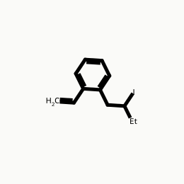 C=Cc1ccccc1CC(I)CC